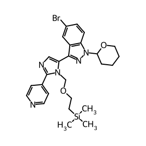 C[Si](C)(C)CCOCn1c(-c2nn(C3CCCCO3)c3ccc(Br)cc23)cnc1-c1ccncc1